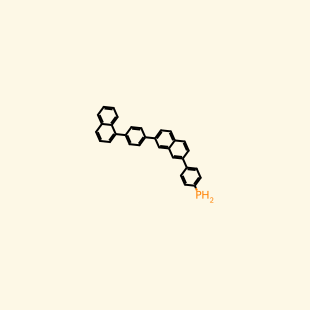 Pc1ccc(-c2ccc3ccc(-c4ccc(-c5cccc6ccccc56)cc4)cc3c2)cc1